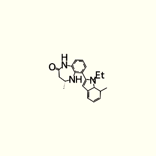 CCN1C(c2cccc3c2N[C@H](C)CC(=O)N3)=CC2=CC=CC(C)C21